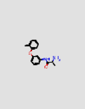 Cc1ccccc1Oc1cccc(NC(=O)C(C)N)c1